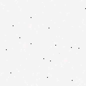 Cl.N[C@H]1C[S+]([O-])c2cc(F)c(-c3noc(N4CCOC5CC54)n3)cc2N(Cc2ccc(Cl)cc2)C1=O